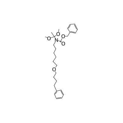 COC(C)(OC)N(CCCCCCOCCCCc1ccccc1)C(=O)OCc1ccccc1